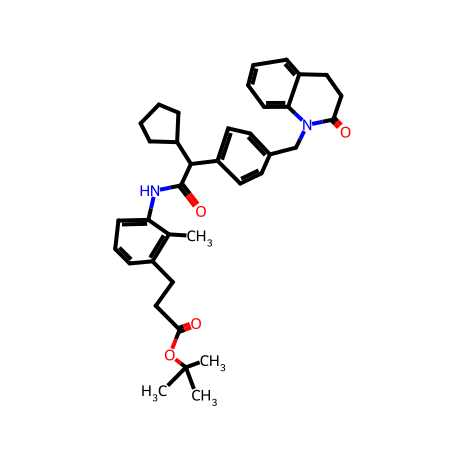 Cc1c(CCC(=O)OC(C)(C)C)cccc1NC(=O)C(c1ccc(CN2C(=O)CCc3ccccc32)cc1)C1CCCC1